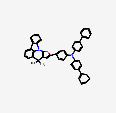 CC1(C)c2cc(-c3ccc(N(c4ccc(C5=CC=CCC5)cc4)c4ccc(-c5ccccc5)cc4)cc3)oc2-n2c3ccccc3c3cccc1c32